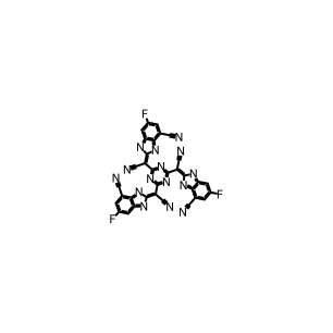 N#CC(=C1N=c2cc(F)cc(C#N)c2=N1)c1nc(C(C#N)=C2N=c3cc(F)cc(C#N)c3=N2)nc(C(C#N)=C2N=c3cc(F)cc(C#N)c3=N2)n1